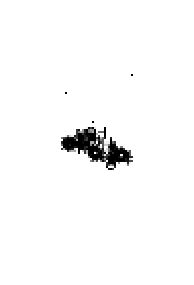 COc1ccc(F)cc1C(=O)NCc1ccc(-c2nc(C3CCCC3)n(N)c2C(=O)O)cc1